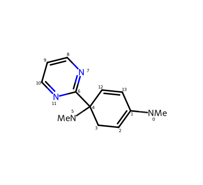 CNC1=CCC(NC)(c2ncccn2)C=C1